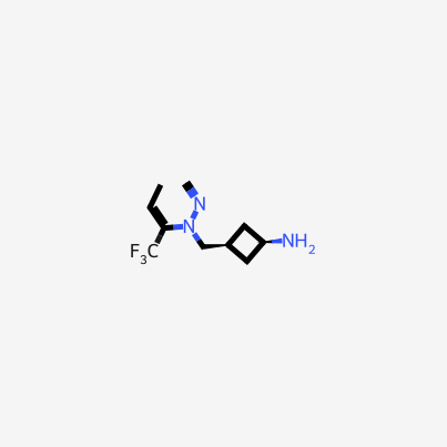 C=NN(C[C@H]1C[C@@H](N)C1)/C(=C\C)C(F)(F)F